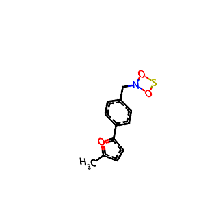 Cc1ccc(-c2ccc(CN3OSO3)cc2)o1